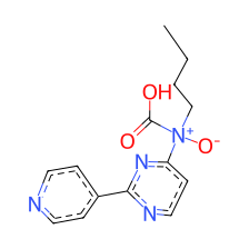 CCCC[N+]([O-])(C(=O)O)c1ccnc(-c2ccncc2)n1